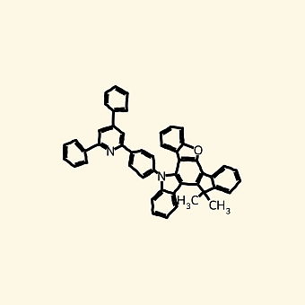 CC1(C)c2ccccc2-c2c1c1c3ccccc3n(-c3ccc(-c4cc(-c5ccccc5)cc(-c5ccccc5)n4)cc3)c1c1c2oc2ccccc21